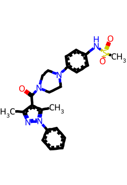 Cc1nn(-c2ccccc2)c(C)c1C(=O)N1CCN(c2ccc(NS(C)(=O)=O)cc2)CC1